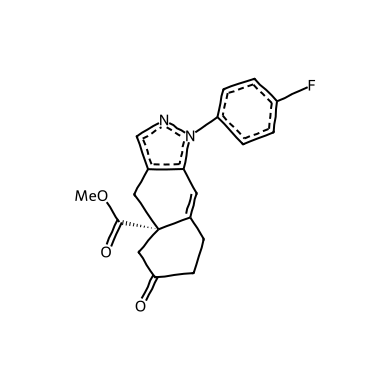 COC(=O)[C@@]12CC(=O)CCC1=Cc1c(cnn1-c1ccc(F)cc1)C2